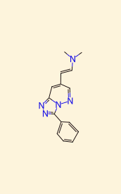 CN(C)/C=C/c1cnn2c(-c3ccccc3)nnc2c1